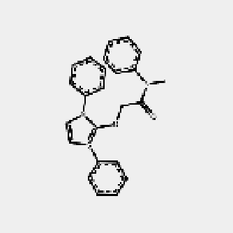 CN(C(=O)COC1=S(c2ccccc2)C=CN1c1ccccc1)c1ccccc1